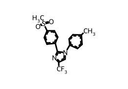 Cc1ccc(-n2cc(C(F)(F)F)nc2-c2ccc(S(C)(=O)=O)cc2)cc1